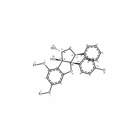 CCOc1cc(OCC)c2c(c1)O[C@@]1(c3ccc(Cl)cc3)[C@H](c3ccccc3)C[C@@H](O)[C@@]21O